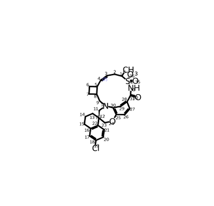 CC1C/C=C\C2CCC2CN2C[C@@]3(CCCc4cc(Cl)ccc43)COc3ccc(cc32)C(=O)NS1(=O)=O